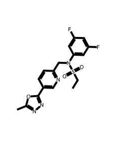 CCS(=O)(=O)N(Cc1ccc(-c2nnc(C)o2)cn1)c1cc(F)cc(F)c1